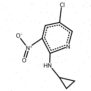 O=[N+]([O-])c1cc(Cl)cnc1NC1CC1